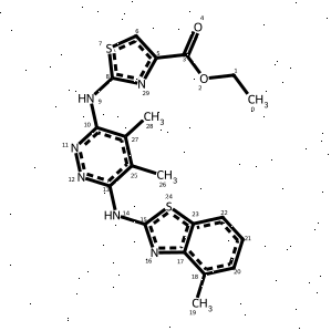 CCOC(=O)c1csc(Nc2nnc(Nc3nc4c(C)cccc4s3)c(C)c2C)n1